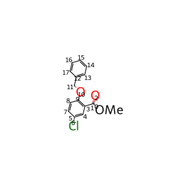 COC(=O)c1cc(Cl)ccc1OCc1ccccc1